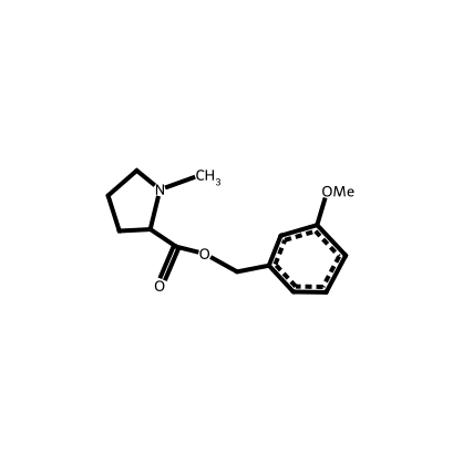 COc1cccc(COC(=O)C2CCCN2C)c1